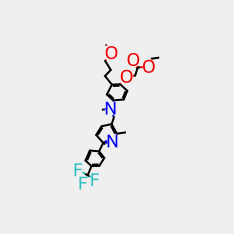 CCOC(=O)COc1ccc(N(C)Cc2ccc(-c3ccc(C(F)(F)F)cc3)nc2C)cc1CCCOC